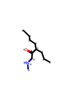 CCCCC(CCC)C(=O)CNC